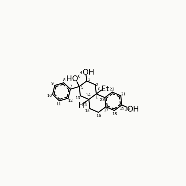 CCC12CC(O)C(O)(c3ccccc3)C[C@H]1CCc1cc(O)ccc12